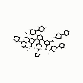 CN(C(=O)c1cc(C(=O)N(C)c2ccc(-c3ccccc3)nc2)cc(-c2cccc(-c3cc(C(=O)N(C)c4ccc(-c5ccccc5)nc4)cc(C(=O)N(C)c4ccc(-c5ccccc5)nc4)c3)c2-c2cnc(-n3cccc3)nc2)c1)c1ccc(-c2ccccc2)nc1